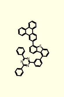 c1ccc(-c2nc(-c3ccccc3)nc(-c3cccc(-c4cccc5sc6c(-c7ccc8c9ccccc9c9ccccc9c8c7)cccc6c45)c3)n2)cc1